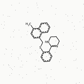 Cc1ccc(CSc2ccccc2C2=NCCCN2)c2ccccc12